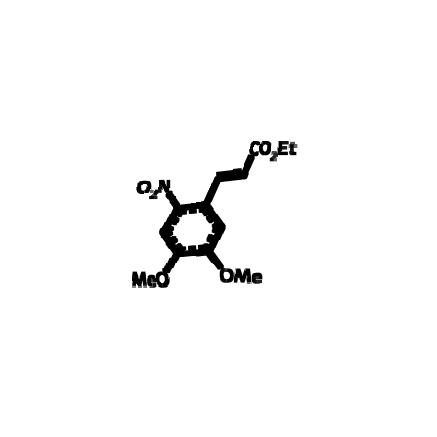 CCOC(=O)C=Cc1cc(OC)c(OC)cc1[N+](=O)[O-]